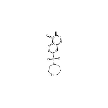 O=c1[nH]ccc2cc(S(=O)(=O)N3CCCNCC3)ccc12